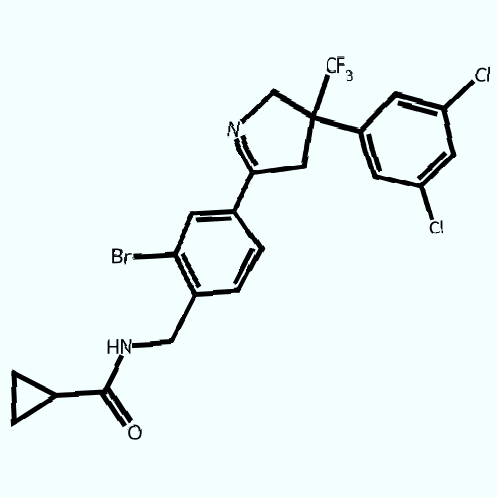 O=C(NCc1ccc(C2=NCC(c3cc(Cl)cc(Cl)c3)(C(F)(F)F)C2)cc1Br)C1CC1